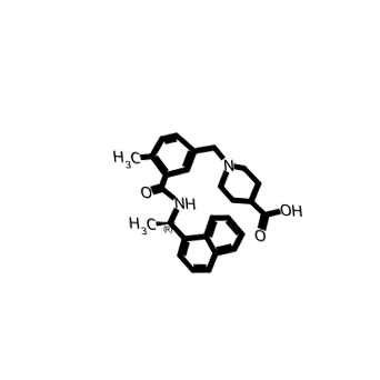 Cc1ccc(CN2CCC(C(=O)O)CC2)cc1C(=O)N[C@H](C)c1cccc2ccccc12